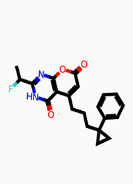 CC(F)c1nc2oc(=O)cc(CCCC3(c4ccccc4)CC3)c2c(=O)[nH]1